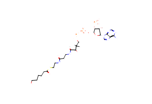 CC(C)(COP(=O)(O)OP(=O)(O)OC[C@H]1O[C@@H](n2cnc3c(N)ncnc32)[C@H](O)[C@@H]1OP(=O)(O)O)C(O)C(=O)NCCC(=O)NCCSC(=O)CCCCCO